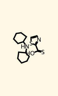 C1CCC(NC2CCCCC2)CC1.OC(=S)c1nccs1